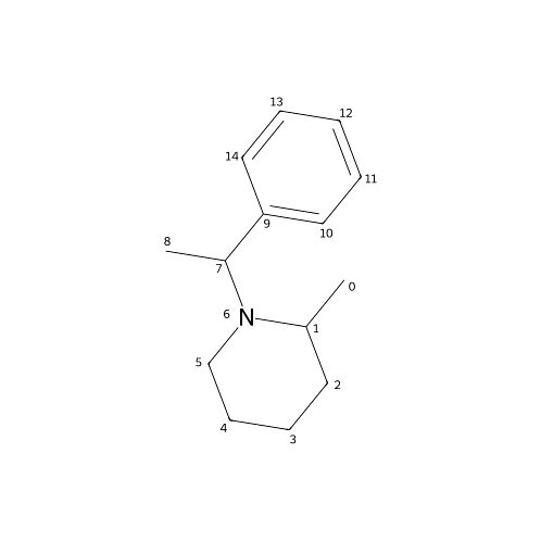 CC1CCCCN1C(C)c1ccccc1